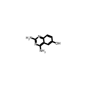 Nc1nc(N)c2cc(O)ccc2n1